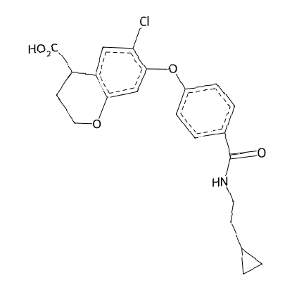 O=C(NCCC1CC1)c1ccc(Oc2cc3c(cc2Cl)C(C(=O)O)CCO3)cc1